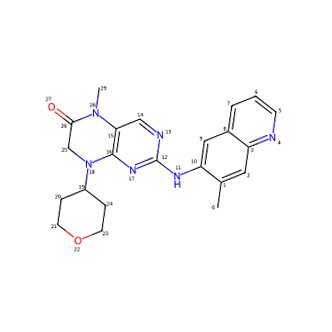 Cc1cc2ncccc2cc1Nc1ncc2c(n1)N(C1CCOCC1)CC(=O)N2C